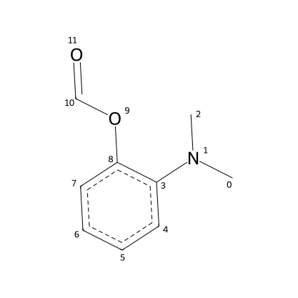 CN(C)c1ccccc1OC=O